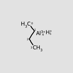 CCCC.[Al+3].[H+]